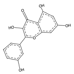 O=c1c(O)c(-c2cccc(O)c2)oc2cc(O)cc(O)c12